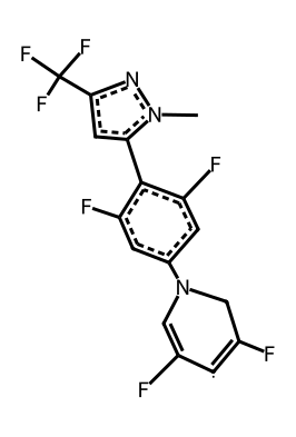 Cn1nc(C(F)(F)F)cc1-c1c(F)cc(N2C=C(F)[C]=C(F)C2)cc1F